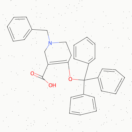 O=C(O)C1=C(OC(c2ccccc2)(c2ccccc2)c2ccccc2)CCN(Cc2ccccc2)C1